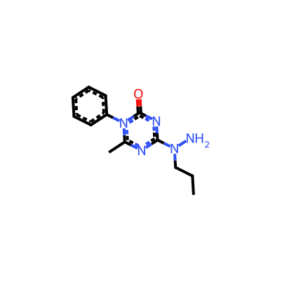 CCCN(N)c1nc(C)n(-c2ccccc2)c(=O)n1